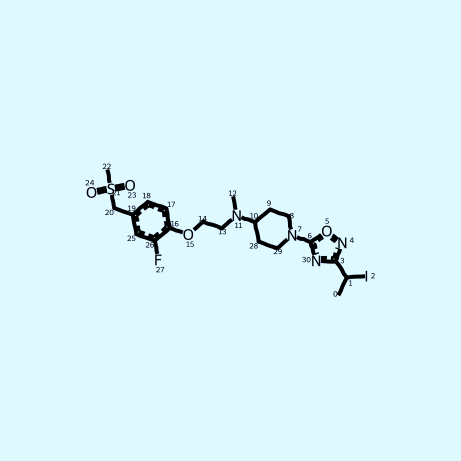 CC(I)c1noc(N2CCC(N(C)CCOc3ccc(CS(C)(=O)=O)cc3F)CC2)n1